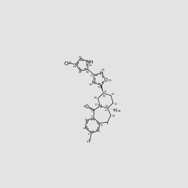 O=C1c2ccc(F)cc2CC[C@@H]2CC[C@H](c3nc(-c4cc(Cl)c[nH]4)no3)CN12